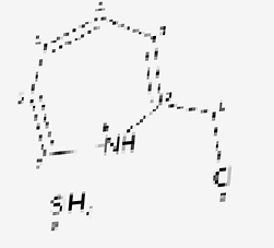 ClCC1=CC=CC=CN1.[SiH4]